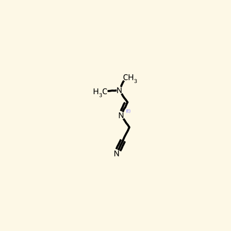 CN(C)/C=N/CC#N